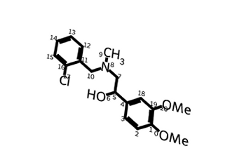 COc1ccc(C(O)CN(C)Cc2ccccc2Cl)cc1OC